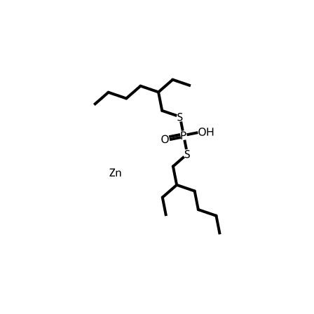 CCCCC(CC)CSP(=O)(O)SCC(CC)CCCC.[Zn]